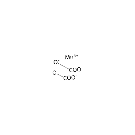 O=C([O-])[O-].O=C([O-])[O-].[Mn+4]